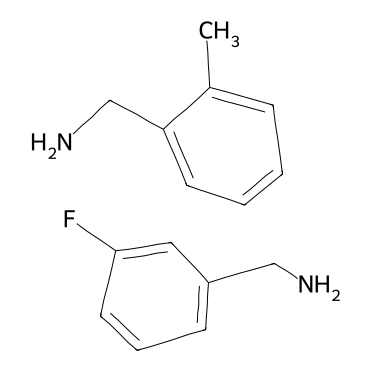 Cc1ccccc1CN.NCc1cccc(F)c1